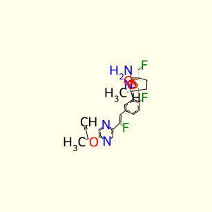 C#CC(C)Oc1cnc(/C(F)=C/c2ccc(F)c([C@@]3(C)N=C(N)[C@@]4(CF)CC[C@@H]3S4(=O)=O)c2)cn1